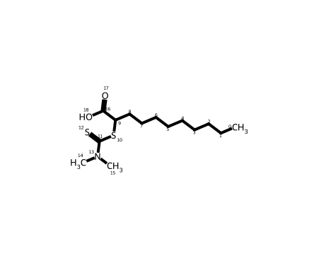 CCCCCCCCCC(SC(=S)N(C)C)C(=O)O